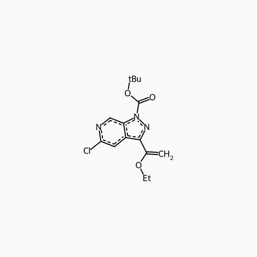 C=C(OCC)c1nn(C(=O)OC(C)(C)C)c2cnc(Cl)cc12